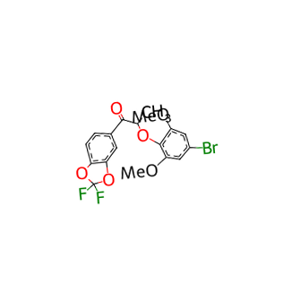 COc1cc(Br)cc(OC)c1OC(C)C(=O)c1ccc2c(c1)OC(F)(F)O2